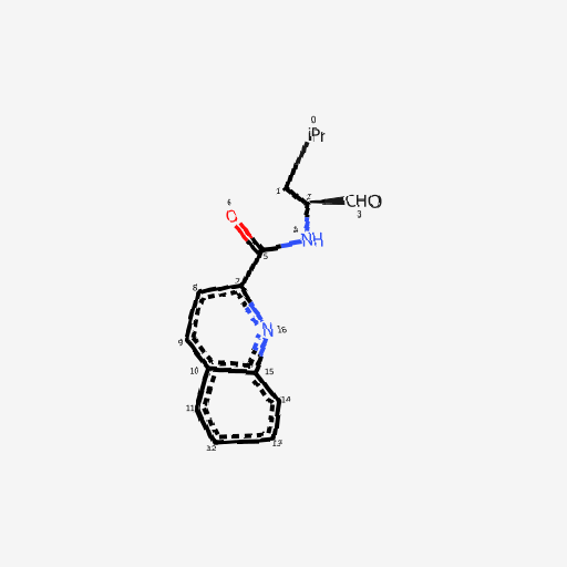 CC(C)C[C@@H](C=O)NC(=O)c1ccc2ccccc2n1